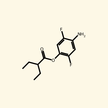 CCC(CC)C(=O)Oc1cc(F)c(N)cc1F